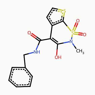 CN1C(O)=C(C(=O)NCc2ccccc2)c2ccsc2S1(=O)=O